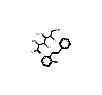 O=C([O-])C(O)C(O)C(O)C(O)CO.Oc1ccccc1C=Cc1ccccc1.[Na+]